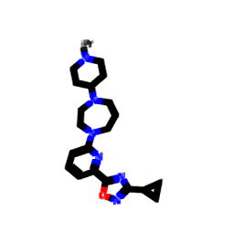 CC(C)N1CCC(N2CCCN(c3cccc(-c4nc(C5CC5)no4)n3)CC2)CC1